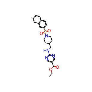 CCOC(=O)c1cnc(NCC2CCN(S(=O)(=O)c3ccc4ccccc4c3)CC2)nc1